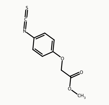 COC(=O)COc1ccc(N=C=S)cc1